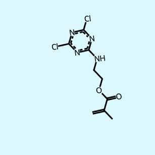 C=C(C)C(=O)OCCNc1nc(Cl)nc(Cl)n1